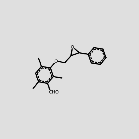 Cc1cc(C)c(OCC2OC2c2ccccc2)c(C)c1C=O